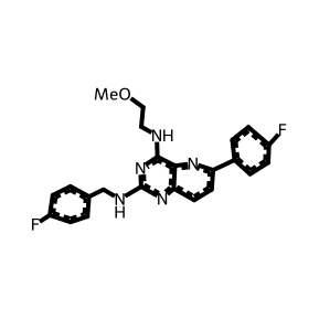 COCCNc1nc(NCc2ccc(F)cc2)nc2ccc(-c3ccc(F)cc3)nc12